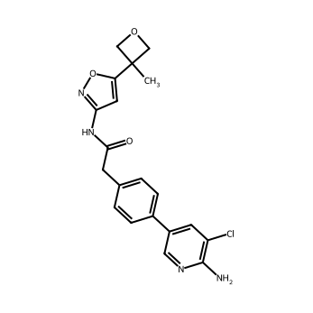 CC1(c2cc(NC(=O)Cc3ccc(-c4cnc(N)c(Cl)c4)cc3)no2)COC1